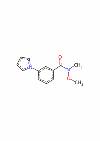 CON(C)C(=O)c1cccc(-n2cccc2)c1